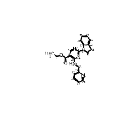 CCOC(=O)c1cnc(N2CCc3ccccc32)nc1NCc1ccccn1